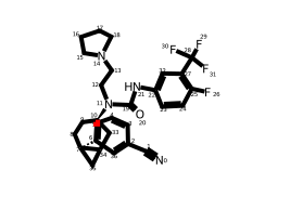 N#Cc1cccc([C@]23CC[C@@H](N(CCN4CCCC4)C(=O)Nc4ccc(F)c(C(F)(F)F)c4)CC2C3)c1